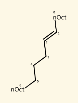 [CH2]CCCCCCCC=CCCCCCCCCCC[CH2]